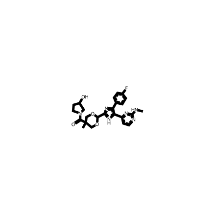 CNc1nccc(-c2[nH]c(C3OCC(C)(C(=O)N4CCC(O)C4)CO3)nc2-c2ccc(F)cc2)n1